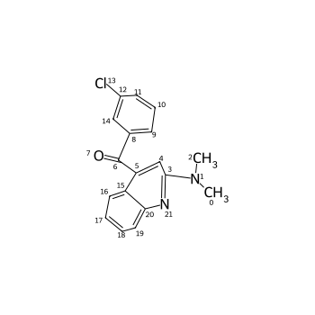 CN(C)c1cc(C(=O)c2cccc(Cl)c2)c2ccccc2n1